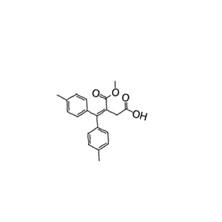 COC(=O)C(CC(=O)O)=C(c1ccc(C)cc1)c1ccc(C)cc1